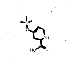 C[Si](C)(C)OC1=CCNC(C(=O)O)C1